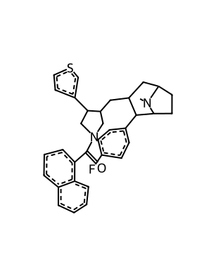 CN1C2CCC1C(c1ccc(F)cc1)C(CC1CN(C(=O)c3cccc4ccccc34)CC1c1ccsc1)C2